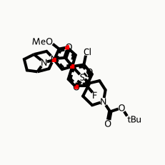 COc1ccc(S(=O)(=O)C2CCN(C(=O)OC(C)(C)C)CC2)cc1N1C2CCC1CN(C(=O)c1ccc(F)cc1Cl)C2